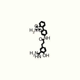 N=C(N)c1cc(CCC(=O)Nc2ccc(-c3ccccc3S(N)(=O)=O)cc2)ccc1O